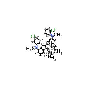 CC1=Cc2cc(N(C)c3ccccc3)ccc2[CH]1[Zr+2]([CH]1C(C)=Cc2c1cccc2N(C)c1ccccc1)[SiH](C)C.[Cl-].[Cl-]